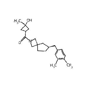 Cc1cc(C[C@H]2CCC3(C2)CN(C(=O)C2CC(C)(O)C2)C3)ccc1C(F)(F)F